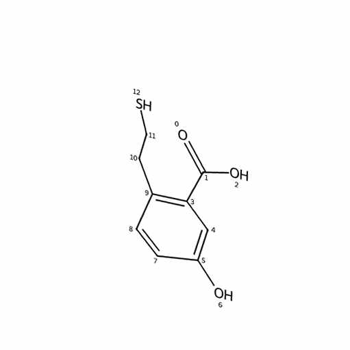 O=C(O)c1cc(O)ccc1CCS